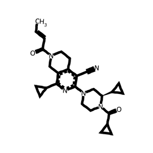 C/C=C/C(=O)N1CCc2c(C#N)c(N3CCN(C(=O)C4CC4)[C@H](C4CC4)C3)nc(C3CC3)c2C1